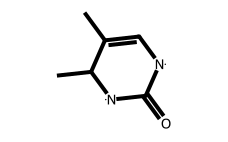 CC1=C[N]C(=O)[N]C1C